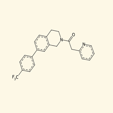 O=C(Cc1ccccn1)N1CCc2ccc(-c3ccc(C(F)(F)F)cc3)cc2C1